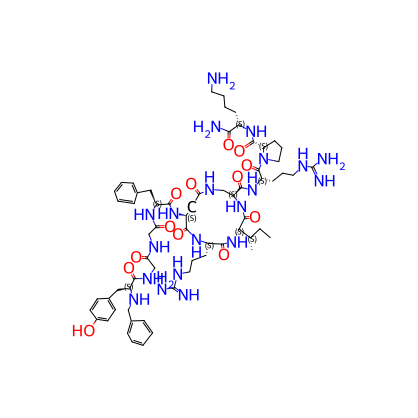 CC[C@H](C)[C@@H]1NC(=O)[C@H](CCCNC(=N)N)NC(=O)[C@@H](NC(=O)[C@H](Cc2ccccc2)NC(=O)CNC(=O)CNC(=O)[C@H](Cc2ccc(O)cc2)NCc2ccccc2)CC(=O)NC[C@@H](C(=O)N[C@@H](CCCNC(=N)N)C(=O)N2CCC[C@H]2C(=O)N[C@@H](CCCCN)C(N)=O)NC1=O